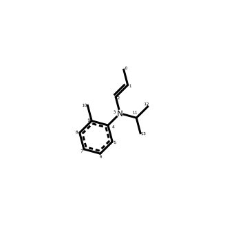 CC=CN(c1ccccc1C)C(C)C